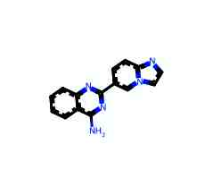 Nc1nc(-c2ccc3nccn3c2)nc2ccccc12